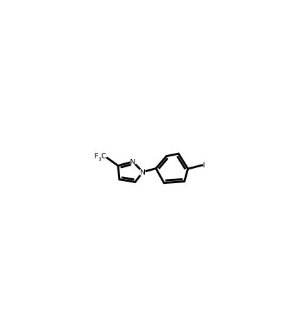 FC(F)(F)c1ccn(-c2ccc(I)cc2)n1